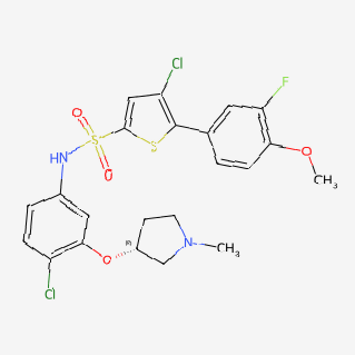 COc1ccc(-c2sc(S(=O)(=O)Nc3ccc(Cl)c(O[C@@H]4CCN(C)C4)c3)cc2Cl)cc1F